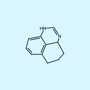 C1=NC2CCCc3cccc(c32)N1